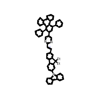 CCC1(CC)c2cc(/C=C/c3ncc(-c4cc(-c5ccccc5)c5c6ccccc6c6ccccc6c5c4-c4ccccc4)cn3)ccc2-c2ccc(-n3c4ccccc4c4ccccc43)cc21